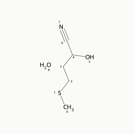 CSCCC(O)C#N.O